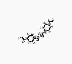 C=Cc1ccc(SSSc2ccc(C=C)cc2)cc1